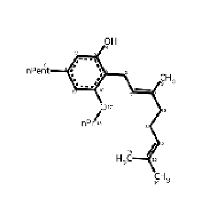 CCCCCc1cc(O)c(C/C=C(\C)CCC=C(C)C)c(OCCC)c1